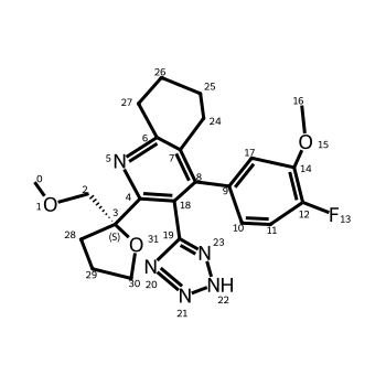 COC[C@@]1(c2nc3c(c(-c4ccc(F)c(OC)c4)c2-c2nn[nH]n2)CCCC3)CCCO1